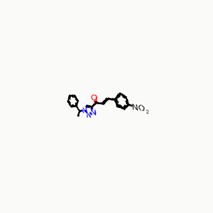 CC(c1ccccc1)n1cc(C(=O)C=Cc2ccc([N+](=O)[O-])cc2)nn1